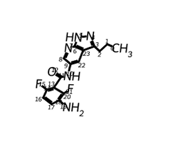 CCCc1n[nH]c2ncc(NC(=O)c3c(F)ccc(N)c3F)cc12